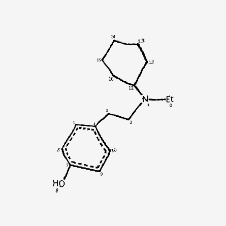 CCN(CCc1ccc(O)cc1)C1CCCCC1